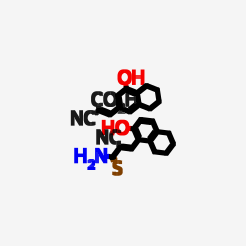 N#CC(=Cc1c(O)ccc2c1CCCC2)C(N)=S.N#CC(=Cc1cc(O)c2c(c1)CCCC2)C(=O)O